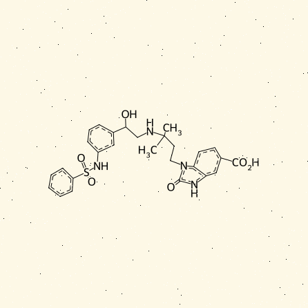 CC(C)(CCn1c(=O)[nH]c2cc(C(=O)O)ccc21)NCC(O)c1cccc(NS(=O)(=O)c2ccccc2)c1